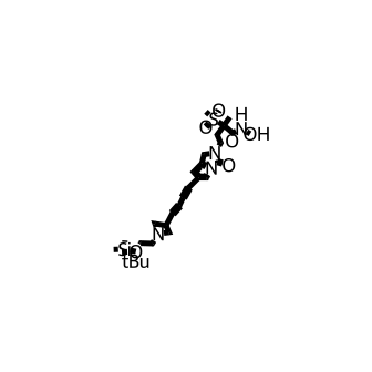 CC(C)(C)[Si](C)(C)OCCN1CC(C#CC#Cc2cc3n(c2)C(=O)N(CCC(C)(C(=O)NO)S(C)(=O)=O)C3)C1